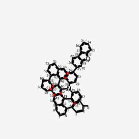 CC1C=CC(c2cccc3cccc(-c4ccccc4N(c4ccc(-c5ccc6c(c5)oc5ccccc56)cc4)c4ccccc4-c4cccc5cccc(-c6ccccc6)c45)c23)=CC1